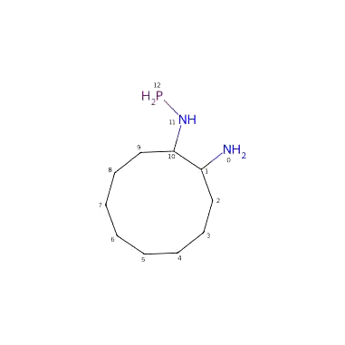 NC1CCCCCCCCC1NP